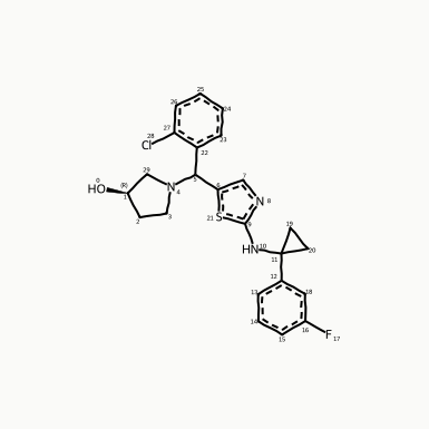 O[C@@H]1CCN(C(c2cnc(NC3(c4cccc(F)c4)CC3)s2)c2ccccc2Cl)C1